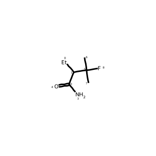 CCC(C(N)=O)C(C)(C)F